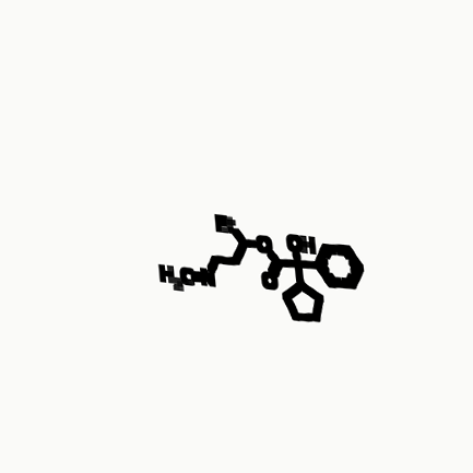 C=NCCC(CC)OC(=O)C(O)(c1ccccc1)C1CCCC1